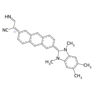 Cc1cc2c(cc1C)N(C)C(=c1ccc3cc4c/c(=C(/C#N)C=N)ccc4cc3c1)N2C